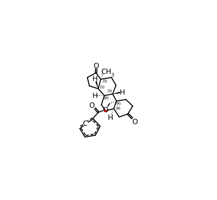 C[C@]12CC[C@H]3[C@@H](CC[C@@H]4CC(=O)CC[C@@]43COC(=O)c3ccccc3)[C@@H]1CCC2=O